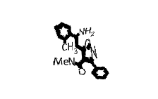 CNC(=O)c1c(-c2ccccc2)noc1C=C(N)c1ccccc1C